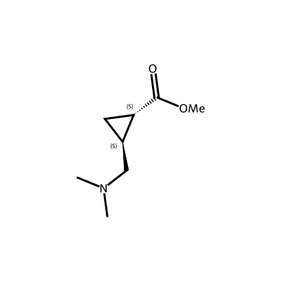 COC(=O)[C@H]1C[C@@H]1CN(C)C